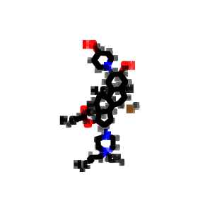 C=CC[N+]1(C)CCN([C@H]2CC3C4CC[C@H]5C[C@H](O)[C@@H](N6CCC(O)CC6)C[C@]5(C)C4CC[C@]3(C)[C@H]2OC(C)=O)CC1.[Br-]